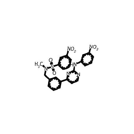 CN(Cc1cccc(-c2ccnc(Nc3cccc([N+](=O)[O-])c3)n2)c1)S(=O)(=O)c1cccc([N+](=O)[O-])c1